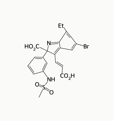 CCc1cc(Br)cc2c1=NC(C(=O)O)(c1cccc(NS(C)(=O)=O)c1)C=2C=CC(=O)O